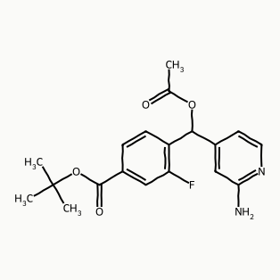 CC(=O)OC(c1ccnc(N)c1)c1ccc(C(=O)OC(C)(C)C)cc1F